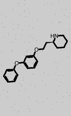 c1ccc(Oc2cccc(OCC[C@@H]3CCCCN3)c2)cc1